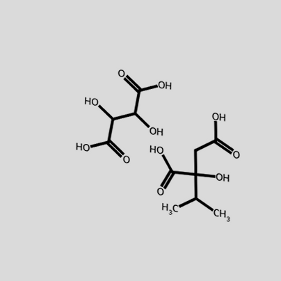 CC(C)C(O)(CC(=O)O)C(=O)O.O=C(O)C(O)C(O)C(=O)O